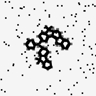 CC1(C)c2ccccc2-c2ccc(N(c3ccccc3)c3ccc4c(c3)-c3c(ccc5c3oc3ccccc35)C4(C)C)cc21